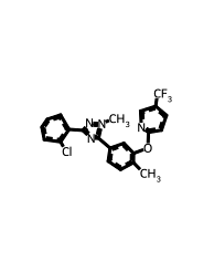 Cc1ccc(-c2nc(-c3ccccc3Cl)nn2C)cc1Oc1ccc(C(F)(F)F)cn1